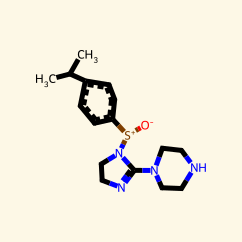 CC(C)c1ccc([S+]([O-])N2CCN=C2N2CCNCC2)cc1